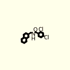 O=C(NCc1ccc2ccccc2c1)c1ccc(Cl)cc1Cl